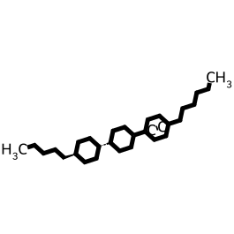 CCCCCCC12CCC(C3CCC([C@H]4CC[C@H](CCCCC)CC4)CC3)(CC1)CC2